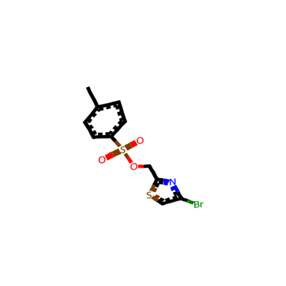 Cc1ccc(S(=O)(=O)OCc2nc(Br)cs2)cc1